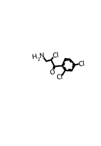 NCC(Cl)C(=O)c1ccc(Cl)cc1Cl